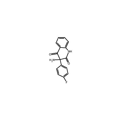 NC1(c2ccc(F)cc2)C(=O)Nc2ccccc2C1=O